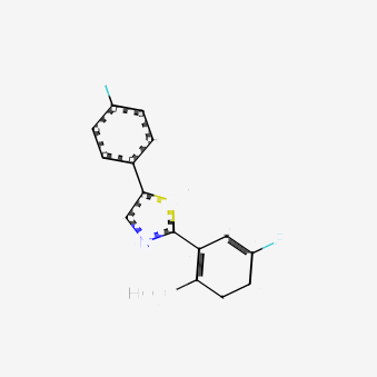 O=C(O)C1=C(c2ncc(-c3ccc(F)cc3)s2)C=C(F)CC1